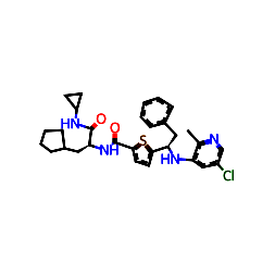 Cc1ncc(Cl)cc1N[C@H](Cc1ccccc1)c1ccc(C(=O)N[C@@H](CC2CCCC2)C(=O)NC2CC2)s1